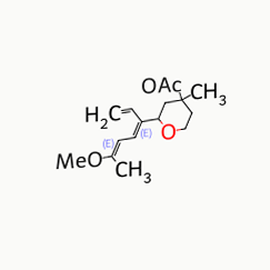 C=C/C(=C\C=C(/C)OC)C1CC(C)(OC(C)=O)CCO1